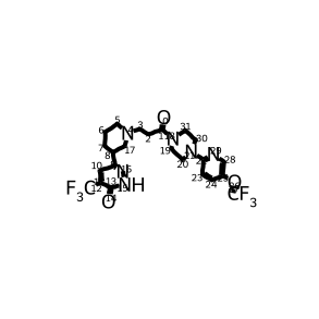 O=C(CCN1CCCC(c2cc(C(F)(F)F)c(=O)[nH]n2)C1)N1CCN(c2ccc(OC(F)(F)F)cn2)CC1